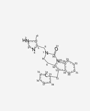 Cc1[nH]cnc1CN1CCc2c(Cc3ccccc3)c3ccccc3n2C1=O